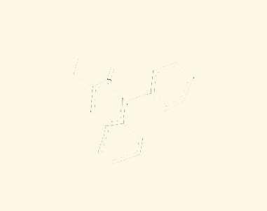 O=c1c(CCl)cc2ccccc2n1-c1ccccc1